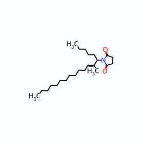 CCCCCCCCCCC/C=C(\C)C(CCCCC)N1C(=O)CCC1=O